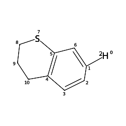 [2H]c1ccc2c(c1)SCCC2